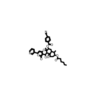 CCCCCC(=O)OC1CCC2(C)C(CC(OC(=O)c3ccc(C#N)cc3)C3(C)Oc4cc(-c5cccnc5)oc(=O)c4C(O)C23)C1C